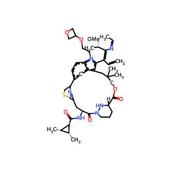 C=C/C(=C(\N=C/C)[C@H](C)OC)c1c2c3cc(ccc3n1CCOC1COC1)C1CSC(=N1)C[C@H](NC(=O)[C@H]1[C@H](C)[C@@H]1C)C(=O)N1CCC[C@H](N1)C(=O)OCC(C)(C)C2